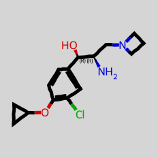 N[C@H](CN1CCC1)[C@H](O)c1ccc(OC2CC2)c(Cl)c1